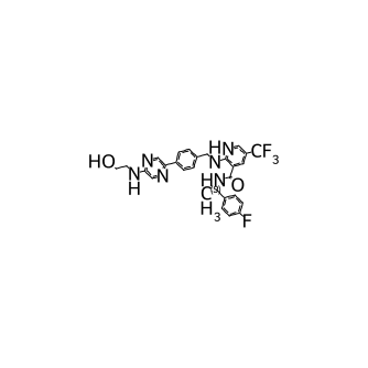 C[C@H](NC(=O)c1cc(C(F)(F)F)cnc1NCc1ccc(-c2cnc(NCCO)cn2)cc1)c1ccc(F)cc1